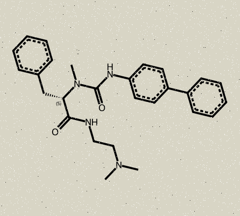 CN(C)CCNC(=O)[C@H](Cc1ccccc1)N(C)C(=O)Nc1ccc(-c2ccccc2)cc1